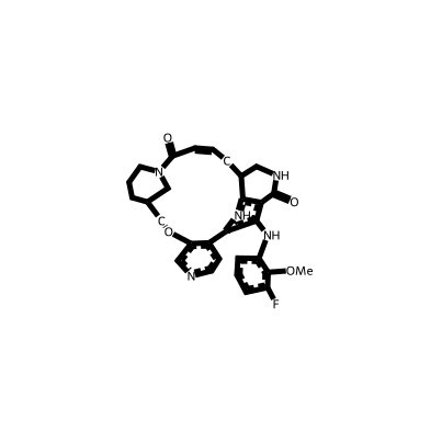 COc1c(F)cccc1Nc1c2[nH]c3c1C(=O)NCC3CC=CC(=O)N1CCCC(COc3cnccc3-2)C1